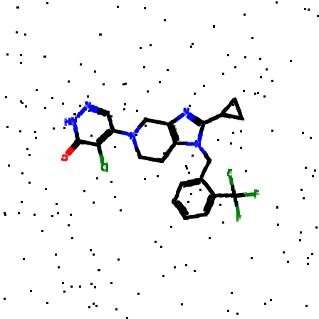 O=c1[nH]ncc(N2CCc3c(nc(C4CC4)n3Cc3ccccc3C(F)(F)F)C2)c1Cl